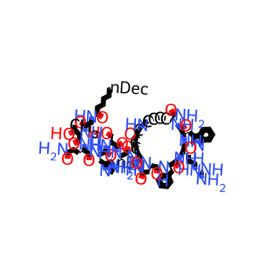 CCCCCCCCCCCCCCCC(=O)NCC(=O)N[C@H](C(=O)N[C@@H](CCC(N)=O)C(=O)N[C@@H](Cc1c[nH]cn1)C(=O)N[C@@H](CO)C(=O)N[C@@H](CCCC)C(=O)N[C@H]1CCC(=O)CNCCCC[C@@H](C(N)=O)NC(=O)[C@H](Cc2c[nH]c3ccccc23)NC(=O)[C@H](CCCNC(=N)N)NC(=O)[C@@H](Cc2ccccc2)NC(=O)[C@H](CC(N)=O)NC1=O)C(C)O